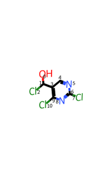 OC(Cl)c1cnc(Cl)nc1Cl